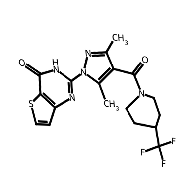 Cc1nn(-c2nc3ccsc3c(=O)[nH]2)c(C)c1C(=O)N1CCC(C(F)(F)F)CC1